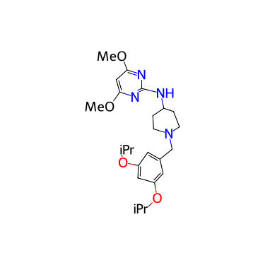 COc1cc(OC)nc(NC2CCN(Cc3cc(OC(C)C)cc(OC(C)C)c3)CC2)n1